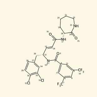 CN(C(=O)c1cc(C(F)(F)F)cc(C(F)(F)F)c1)[C@@H](C=CC(=O)N[C@@H]1CCCCNC1=O)Cc1ccc(Cl)c(Cl)c1